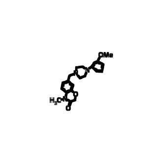 COc1cccc(N2CCN(Cc3ccc4c(c3)OCC(=O)N4C)CC2)c1